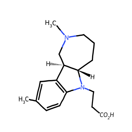 Cc1ccc2c(c1)[C@H]1CN(C)CCC[C@@H]1N2CCC(=O)O